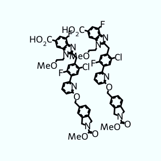 COCCn1c(Cc2cc(F)c(-c3cccc(OCc4ccc5c(c4)CN(C(=O)OC)C5)n3)cc2Cl)nc2c(F)cc(C(=O)O)cc21.COCCn1c(Cc2cc(F)c(-c3cccc(OCc4ccc5c(c4)CN(C(=O)OC)C5)n3)cc2Cl)nc2c(F)cc(C(=O)O)cc21